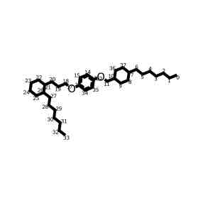 CCCCCCCC1CCC(COc2ccc(OCCCC3CCCCC3CCCCCCC)cc2)CC1